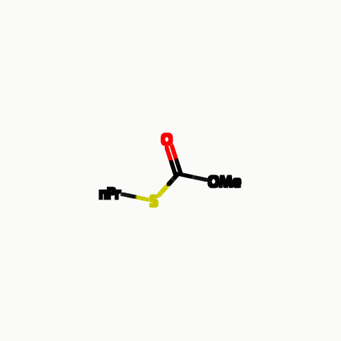 [CH2]OC(=O)SCCC